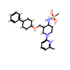 Cc1cccc(N2CCC(NS(C)(=O)=O)C(COC3CCC(c4ccccc4)CC3)C2)n1